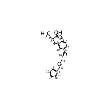 CCC(Cc1cccc(OCCOCc2ccccc2)c1)C(=O)O